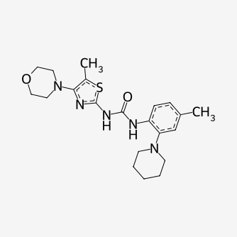 Cc1ccc(NC(=O)Nc2nc(N3CCOCC3)c(C)s2)c(N2CCCCC2)c1